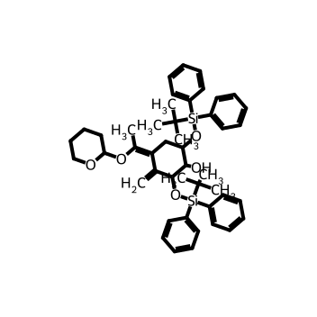 C=C1C(=C(C)OC2CCCCO2)CC(O[Si](c2ccccc2)(c2ccccc2)C(C)(C)C)C(O)C1O[Si](c1ccccc1)(c1ccccc1)C(C)(C)C